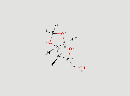 C[C@H]1[C@H]2OC(C)(C)O[C@H]2O[C@@H]1CO